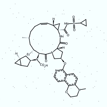 CC[C@@H]1C[C@H](C)CC/C=C\[C@@H]2C[C@@]2(C(=O)NS(=O)(=O)C2CC2)NC(=O)[C@@H]2C[C@@H](Oc3nccc4c5c(ccc34)N(C)CCO5)CN2C(=O)[C@H]1N(C(=O)O)[C@H]1CC2C[C@H]2C1